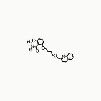 Cc1cccc(OCCCCOCc2ccc3ccccc3n2)c1C(=O)N=O